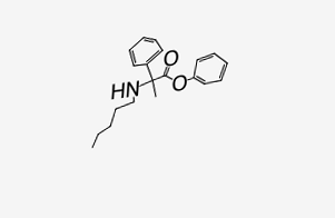 CCCCCNC(C)(C(=O)Oc1ccccc1)c1ccccc1